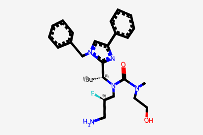 CN(CCO)C(=O)N(C[C@H](F)CN)[C@@H](c1nc(-c2ccccc2)cn1Cc1ccccc1)C(C)(C)C